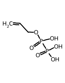 C=CCOP(=O)(O)P(=O)(O)O